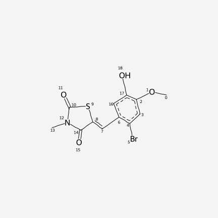 COc1cc(Br)c(/C=C2\SC(=O)N(C)C2=O)cc1O